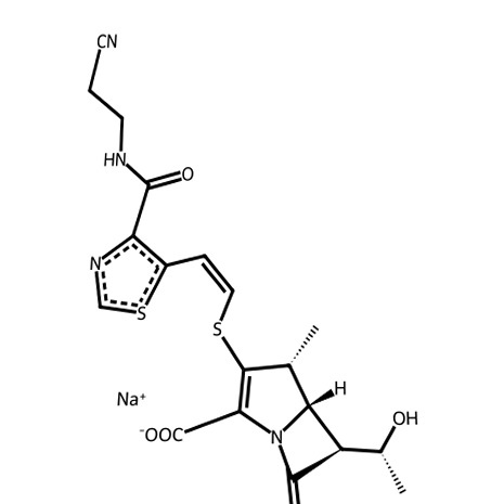 C[C@@H](O)[C@H]1C(=O)N2C(C(=O)[O-])=C(S/C=C\c3scnc3C(=O)NCCC#N)[C@H](C)[C@H]12.[Na+]